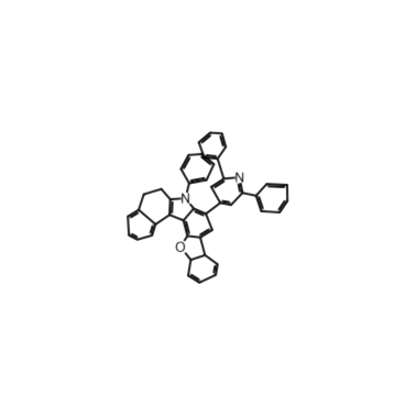 C1=CC2Oc3c(cc(-c4cc(-c5ccccc5)nc(-c5ccccc5)c4)c4c3c3c(n4-c4ccccc4)CCc4ccccc4-3)C2C=C1